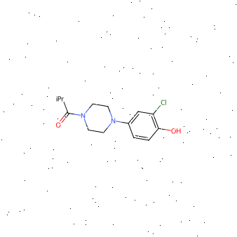 CC(C)C(=O)N1CCN(c2ccc(O)c(Cl)c2)CC1